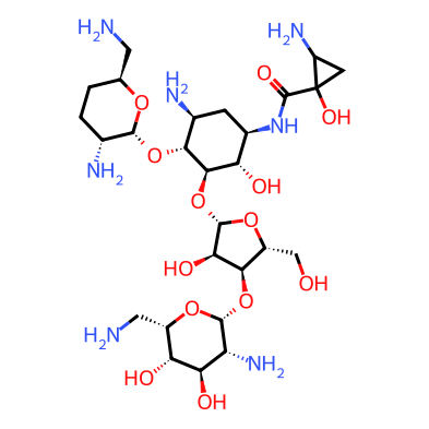 NC[C@@H]1CC[C@@H](N)[C@@H](O[C@H]2[C@H](O[C@@H]3O[C@H](CO)[C@@H](O[C@H]4O[C@@H](CN)[C@@H](O)[C@H](O)[C@H]4N)[C@H]3O)[C@@H](O)[C@H](NC(=O)C3(O)CC3N)C[C@@H]2N)O1